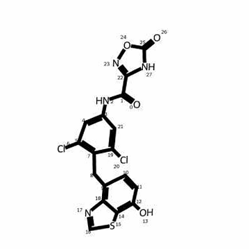 O=C(Nc1cc(Cl)c(Cc2ccc(O)c3scnc23)c(Cl)c1)c1noc(=O)[nH]1